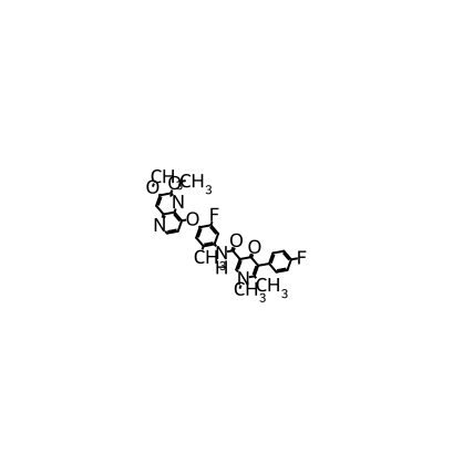 COc1cc2nccc(Oc3cc(C)c(NC(=O)c4cn(C)c(C)c(-c5ccc(F)cc5)c4=O)cc3F)c2nc1OC